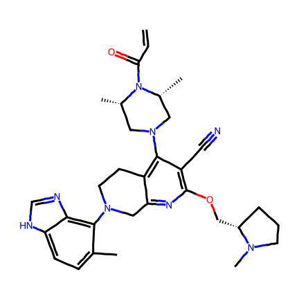 C=CC(=O)N1[C@H](C)CN(c2c(C#N)c(OC[C@@H]3CCCN3C)nc3c2CCN(c2c(C)ccc4[nH]cnc24)C3)C[C@@H]1C